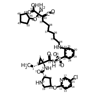 C=C[C@@H]1C[C@]1(NC(=O)[C@@H]1C[C@@H](Oc2ccc(Cl)cn2)CN1)C(=O)NS(=O)(=O)c1ccccc1NCCCCCCC(=C=O)[C@](N)(OC1CCCC1)C(=O)O